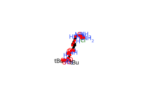 CN(C)C(=O)[C@@H](CCCCN(C(=N)NC(=O)OC(C)(C)C)C(=O)OC(C)(C)C)NC(=O)[C@@H](CCc1ccc(CCCCNC(=N)NC(=O)c2nc(Cl)c(N)nc2N)cc1)N(C)C